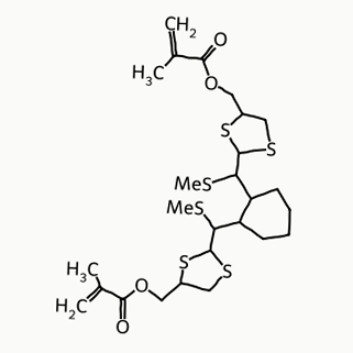 C=C(C)C(=O)OCC1CSC(C(SC)C2CCCCC2C(SC)C2SCC(COC(=O)C(=C)C)S2)S1